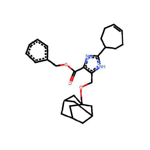 O=C(OCc1ccccc1)c1nc(C2CCC=CCC2)[nH]c1COC12CC3CC(CC(C3)C1)C2